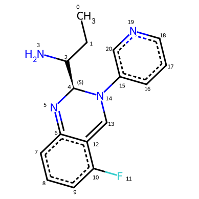 CCC(N)[C@@H]1N=c2cccc(F)c2=CN1c1cccnc1